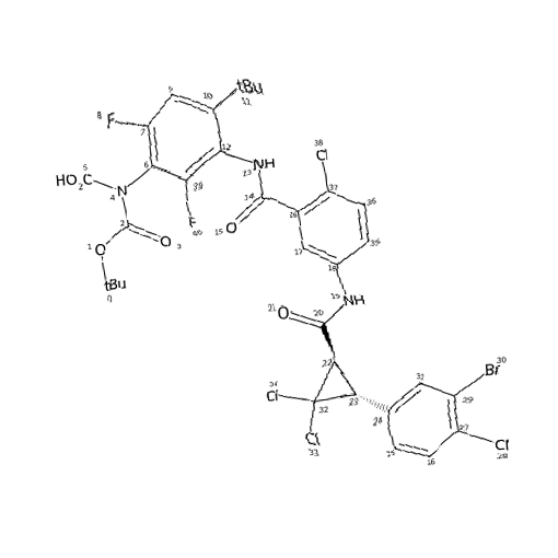 CC(C)(C)OC(=O)N(C(=O)O)c1c(F)cc(C(C)(C)C)c(NC(=O)c2cc(NC(=O)[C@H]3[C@H](c4ccc(Cl)c(Br)c4)C3(Cl)Cl)ccc2Cl)c1F